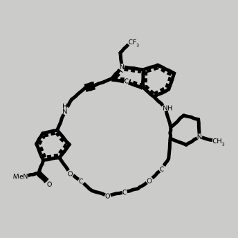 CNC(=O)c1ccc2cc1OCCOCCOCCC1CN(C)CCC1Nc1cccc3c1cc(n3CC(F)(F)F)C#CCN2